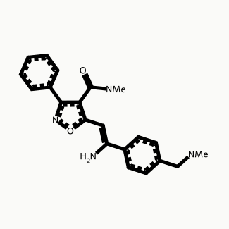 CNCc1ccc(/C(N)=C/c2onc(-c3ccccc3)c2C(=O)NC)cc1